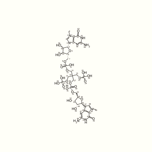 C[n+]1cn([C@@H]2O[C@H](COP(=O)(O)OCC(COP(=O)(O)O)(COP(=O)(O)O)COP(=O)(O)OC[C@H]3O[C@@H](n4c[n+](C)c5c(=O)[nH]c(N)nc54)[C@H](O)[C@@H]3O)[C@@H](O)[C@H]2O)c2nc(N)[nH]c(=O)c21